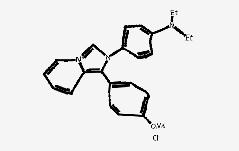 CCN(CC)c1ccc(-n2c[n+]3ccccc3c2-c2ccc(OC)cc2)cc1.[Cl-]